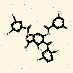 N#Cc1c(C(=O)c2cc(F)ccc2Cl)c(NC(=O)c2cc(F)cc(C(F)(F)F)c2)cc2c1c(Br)nn2C(=O)c1cc(F)cc(C(F)(F)F)c1